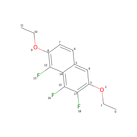 CCOc1cc2ccc(OCC)c(F)c2c(F)c1F